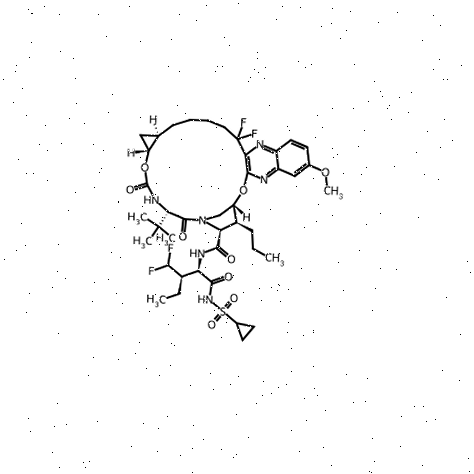 CCC[C@@H]1[C@@H]2CN(C(=O)[C@H](C(C)(C)C)NC(=O)O[C@@H]3C[C@H]3CCCCC(F)(F)c3nc4ccc(OC)cc4nc3O2)[C@@H]1C(=O)N[C@@H](C(=O)NS(=O)(=O)C1CC1)[C@@H](CC)C(F)F